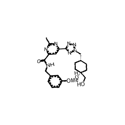 COc1cccc(CNC(=O)c2cc(-c3nnn(C[C@H]4CC[C@](O)(CO)CC4)n3)nc(C)n2)c1